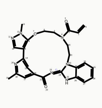 C=CC(=O)N1CCOc2c(cnn2C)-c2cc(cc(C)n2)C(=O)/N=C2\Nc3ccccc3N2CC1